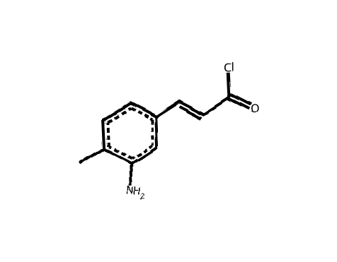 Cc1ccc(C=CC(=O)Cl)cc1N